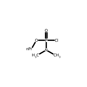 CCCOP(=O)(Cl)N(C)C